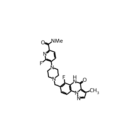 CNC(=O)c1ccc(N2CCN(Cc3ccc4c([nH]c(=O)c5c(C)cnn54)c3F)CC2)c(F)n1